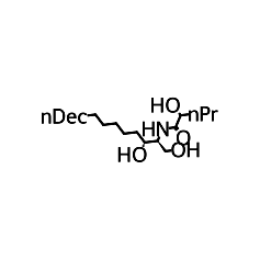 CCCCCCCCCCCCCCC[C@@H](O)[C@H](CO)NC(=O)C(O)CCC